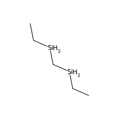 CC[SiH2]C[SiH2]CC